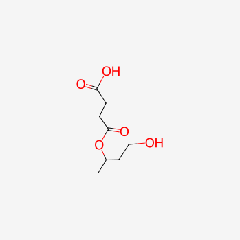 CC(CCO)OC(=O)CCC(=O)O